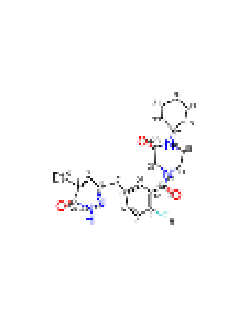 CCc1cc(Cc2ccc(F)c(C(=O)N3CCN(C4CCCCC4)C(=O)C3)c2)n[nH]c1=O